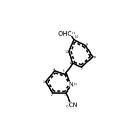 N#Cc1cccc(-c2cccc(C=O)c2)n1